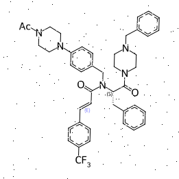 CC(=O)N1CCN(c2ccc(CN(C(=O)/C=C/c3ccc(C(F)(F)F)cc3)[C@@H](Cc3ccccc3)C(=O)N3CCN(Cc4ccccc4)CC3)cc2)CC1